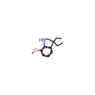 CCC1(CC)CNc2c(OC)cccc21